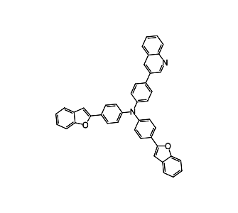 c1ccc2ncc(-c3ccc(N(c4ccc(-c5cc6ccccc6o5)cc4)c4ccc(-c5cc6ccccc6o5)cc4)cc3)cc2c1